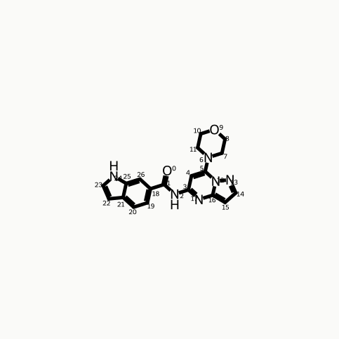 O=C(Nc1cc(N2CCOCC2)n2nccc2n1)c1ccc2cc[nH]c2c1